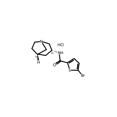 Cl.O=C(N[C@@H]1C[C@@H]2CCN(C2)C1)c1ccc(Br)s1